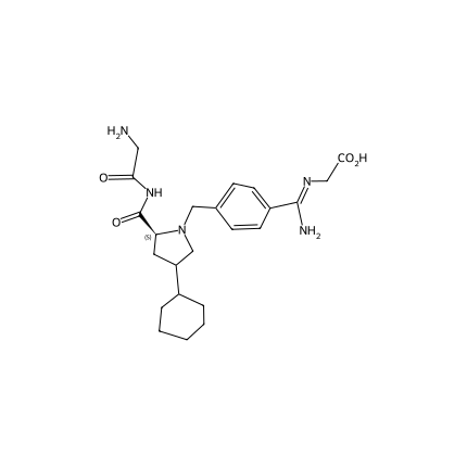 NCC(=O)NC(=O)[C@@H]1CC(C2CCCCC2)CN1Cc1ccc(C(N)=NCC(=O)O)cc1